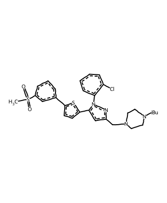 CCC(C)N1CCN(Cc2cc(-c3ccc(-c4cccc(S(C)(=O)=O)c4)s3)n(-c3ccccc3Cl)n2)CC1